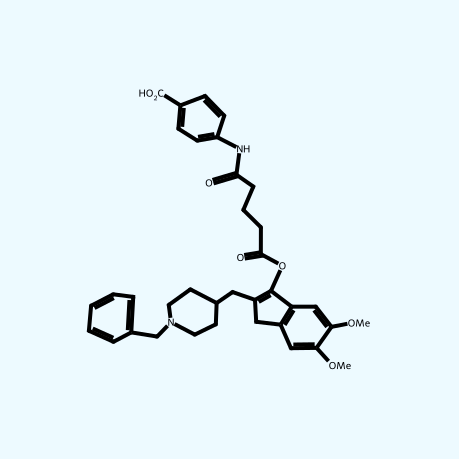 COc1cc2c(cc1OC)C(OC(=O)CCCC(=O)Nc1ccc(C(=O)O)cc1)=C(CC1CCN(Cc3ccccc3)CC1)C2